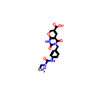 CCNC(=O)Nc1ccc(Cn2c(=O)[nH]c3c(c2=O)C=C(C(=O)O)CO3)cc1